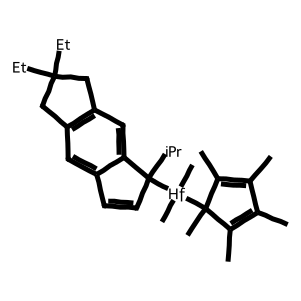 CCC1(CC)Cc2cc3c(cc2C1)[C](C(C)C)([Hf]([CH3])([CH3])[C]1(C)C(C)=C(C)C(C)=C1C)C=C3